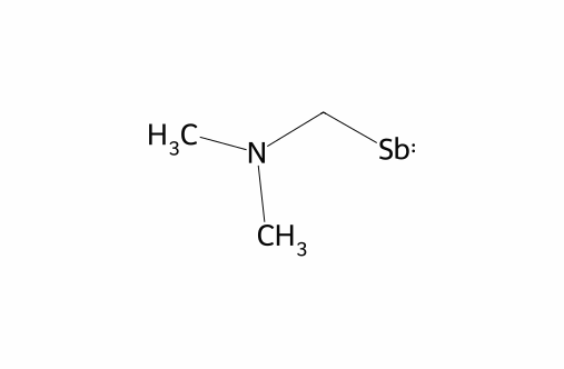 CN(C)[CH2][Sb]